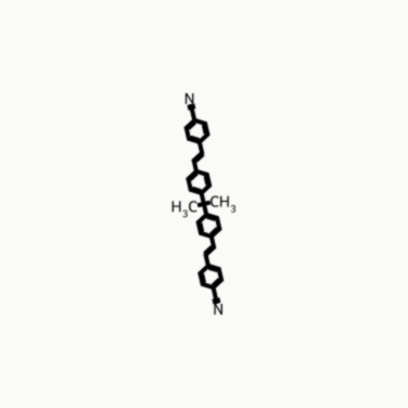 CC(C)(c1ccc(/C=C/c2ccc(C#N)cc2)cc1)c1ccc(/C=C/c2ccc(C#N)cc2)cc1